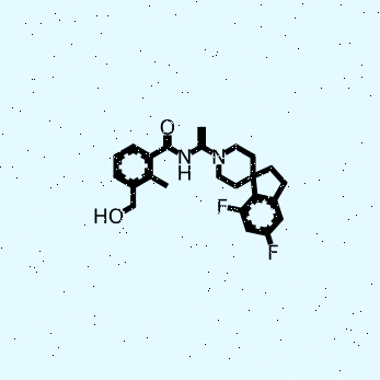 C=C(NC(=O)c1cccc(CO)c1C)N1CCC2(CCc3cc(F)cc(F)c32)CC1